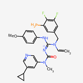 C=CN(Cc1cc(F)c(F)c(P)c1)/C(=N\C(=O)N(C)c1cncc(C2CC2)c1)Nc1ccc(OC)cc1